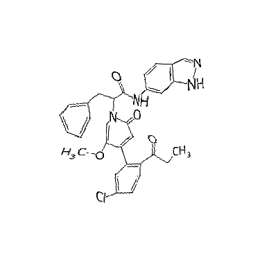 CCC(=O)c1ccc(Cl)cc1-c1cc(=O)n(C(Cc2ccccc2)C(=O)Nc2ccc3cn[nH]c3c2)cc1OC